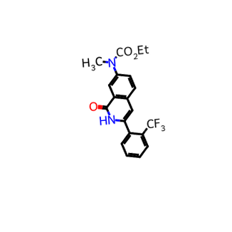 CCOC(=O)N(C)c1ccc2cc(-c3ccccc3C(F)(F)F)[nH]c(=O)c2c1